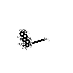 C=C(C)[C@@H]1CC[C@]2(C(=O)NCCCCCCCN)CC[C@]3(C)[C@H](CCC4[C@@]5(C)CCC(=O)C(C)(C)[C@@H]5CC[C@]43C)[C@@H]12